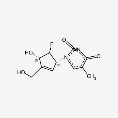 Cc1cn([C@@H]2C=C(CO)[C@H](O)C2F)c(=O)[nH]c1=O